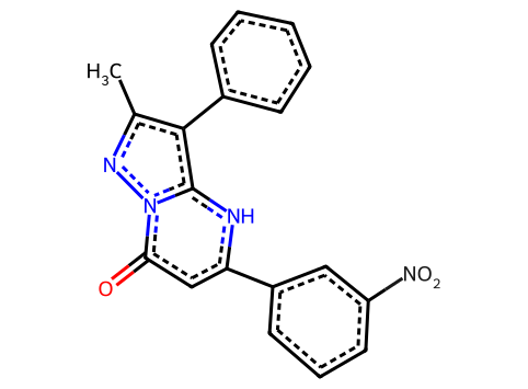 Cc1nn2c(=O)cc(-c3cccc([N+](=O)[O-])c3)[nH]c2c1-c1ccccc1